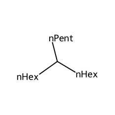 [CH2]CCCCCC(CCCCC)CCCCCC